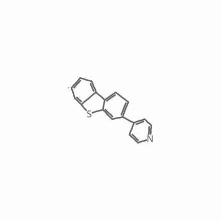 [c]1ccc2c(c1)sc1cc(-c3ccncc3)ccc12